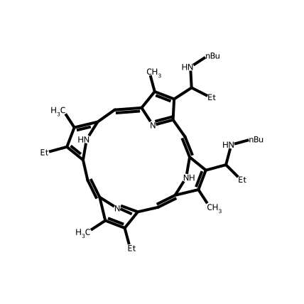 CCCCNC(CC)C1=C(C)c2cc3[nH]c(cc4nc(cc5[nH]c(cc1n2)c(C(CC)NCCCC)c5C)C(CC)=C4C)c(CC)c3C